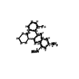 CNc1nc(N)nc2nc(-c3c(F)cccc3N3CCCCC3)ccc12